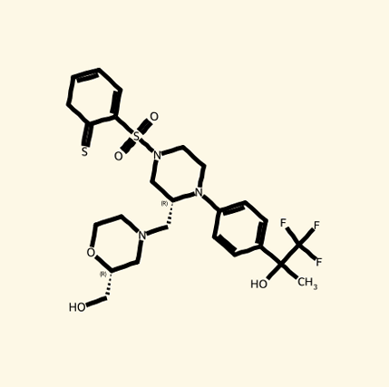 CC(O)(c1ccc(N2CCN(S(=O)(=O)C3=CC=CCC3=S)C[C@H]2CN2CCO[C@@H](CO)C2)cc1)C(F)(F)F